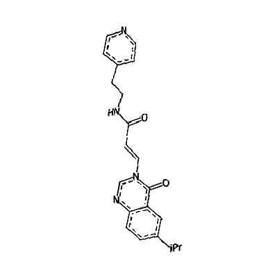 CC(C)c1ccc2ncn(/C=C/C(=O)NCCc3ccncc3)c(=O)c2c1